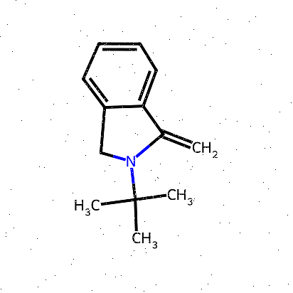 C=C1c2ccccc2CN1C(C)(C)C